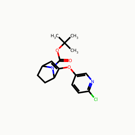 CC(C)(C)OC(=O)N1C2C=C(Oc3ccc(Cl)nc3)C1CC2